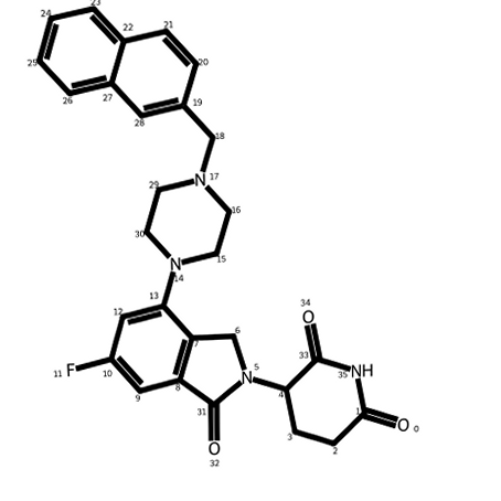 O=C1CCC(N2Cc3c(cc(F)cc3N3CCN(Cc4ccc5ccccc5c4)CC3)C2=O)C(=O)N1